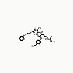 CC(C)[C@H](NC(=O)OCCSSc1ccccn1)C(=O)NC(CCCNC(N)=O)C(=O)Nc1ccc(CO)cc1